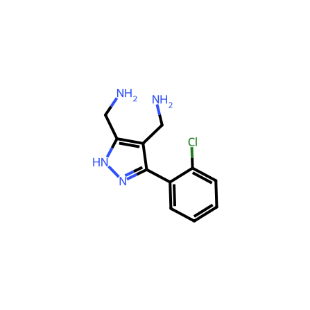 NCc1[nH]nc(-c2ccccc2Cl)c1CN